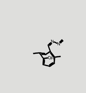 C=N\N=C/C1=C(C)/C=C\C=C(O)\C(C)=C\1